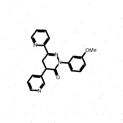 COc1cccc(N2N=C(c3ccccn3)CC(c3cccnc3)C2=O)c1